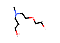 CN(CCCO)CCOCC[O]